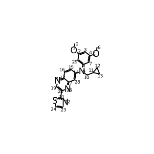 COc1cc(OC)cc(N(CC2CC2)c2ccc3ncc(-c4nccs4)nc3c2)c1